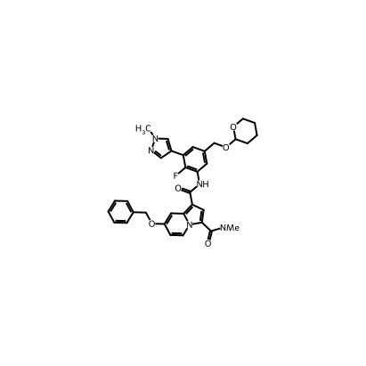 CNC(=O)c1cc(C(=O)Nc2cc(COC3CCCCO3)cc(-c3cnn(C)c3)c2F)c2cc(OCc3ccccc3)ccn12